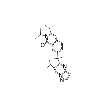 CC(C)c1cn2nccc2nc1C(C)(C)c1ccc2cc(C(C)C)n(C(C)C)c(=O)c2c1